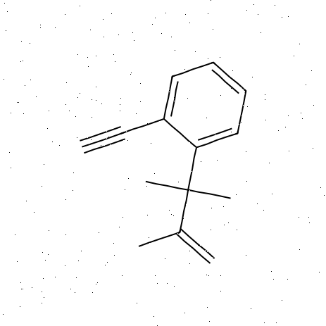 C#Cc1ccccc1C(C)(C)C(=C)C